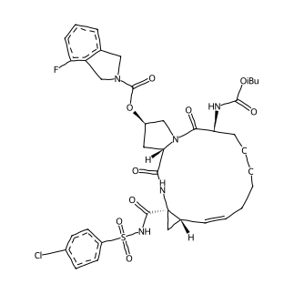 CC(C)COC(=O)N[C@H]1CCCCC/C=C\[C@@H]2C[C@@]2(C(=O)NS(=O)(=O)c2ccc(Cl)cc2)NC(=O)[C@@H]2C[C@@H](OC(=O)N3Cc4cccc(F)c4C3)CN2C1=O